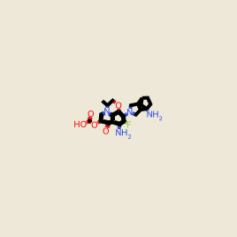 CC1COc2c(N3CC4C5CCC(N)(C5)C4C3)c(F)c(N)c3c(=O)c(OC(=O)O)cn1c23